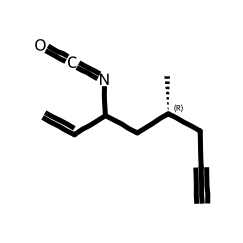 C#CC[C@@H](C)CC(C=C)N=C=O